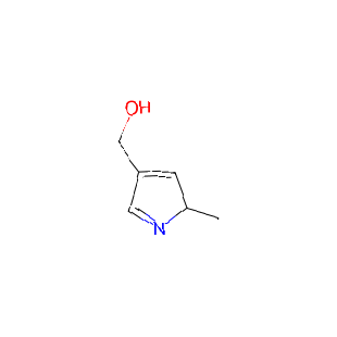 CC1C=C(CO)C=N1